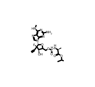 C#C[C@@]1(F)[C@H](O)C(CO[PH](=O)N[C@@H](C)C(=O)OC(C)C)O[C@H]1n1cnc2c(NC)nc(N)nc21